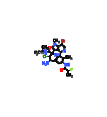 C=C(F)C(=O)Nc1cccc(-c2ncc(Br)c3c2c(C2(C(=O)N[C@H](C)C(F)(F)F)NC=CC(N)=C2Cl)cn3C)c1C